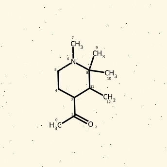 CC(=O)C1CCN(C)C(C)(C)C1C